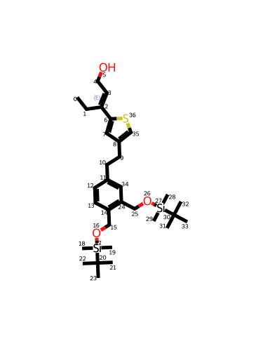 CC/C(=C\CO)c1cc(CCc2ccc(CO[Si](C)(C)C(C)(C)C)c(CO[Si](C)(C)C(C)(C)C)c2)cs1